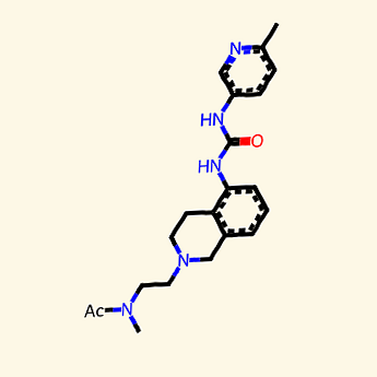 CC(=O)N(C)CCN1CCc2c(cccc2NC(=O)Nc2ccc(C)nc2)C1